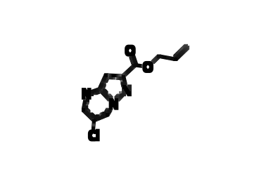 C=CCOC(=O)c1cc2ncc(Cl)cn2n1